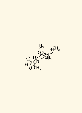 CC[C@@H]1C(=O)N(C)c2cnc(NC3=C4OC(C)CC4C(C)(C(=O)NC4CCN(C)CC4)C=C3)nc2N1C1CCCC1